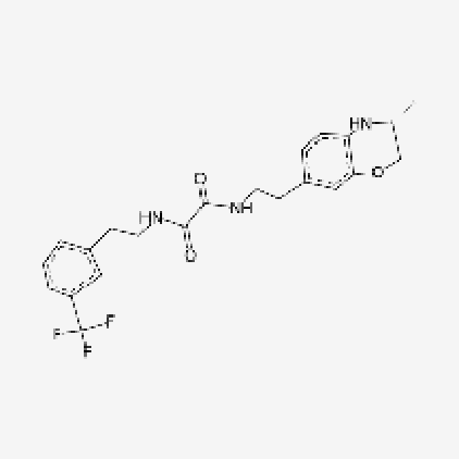 C[C@@H]1COc2cc(CCNC(=O)C(=O)NCCc3cccc(C(F)(F)F)c3)ccc2N1